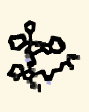 COC(=O)CCC/C=C\C[C@@H]1[C@@H](/C=C/[C@@H](O[Si](c2ccccc2)(c2ccccc2)C(C)(C)C)c2cc3ccccc3s2)C2(C[C@@H]1O)OCCO2